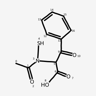 CC(=O)N(S)C(C(=O)O)C(=O)c1ccccc1